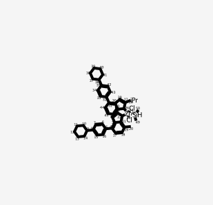 CC1=Cc2c(-c3ccc(C4CCCCC4)cc3)ccc(C)c2[CH]1[Zr]([Cl])([Cl])([CH]1C(C(C)C)=Cc2c(-c3ccc(C4CCCCC4)cc3)cccc21)[SiH](C)C